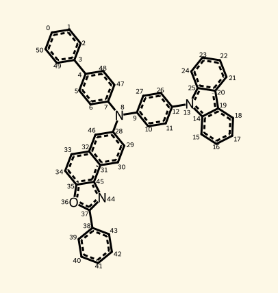 c1ccc(-c2ccc(N(c3ccc(-n4c5ccccc5c5ccccc54)cc3)c3ccc4c(ccc5oc(-c6ccccc6)nc54)c3)cc2)cc1